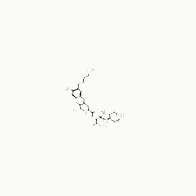 COCCCCc1cc(CC(C[C@H](N)C(O)C[C@H](C(=O)NC2CCNCC2)C(C)C)C(C)C)ccc1OC